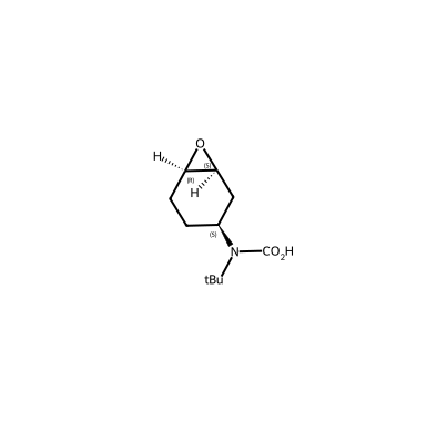 CC(C)(C)N(C(=O)O)[C@H]1CC[C@H]2O[C@H]2C1